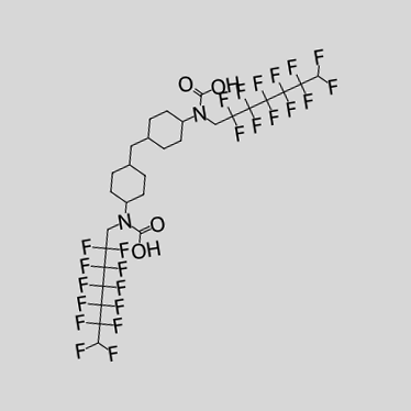 O=C(O)N(CC(F)(F)C(F)(F)C(F)(F)C(F)(F)C(F)(F)C(F)F)C1CCC(CC2CCC(N(CC(F)(F)C(F)(F)C(F)(F)C(F)(F)C(F)(F)C(F)F)C(=O)O)CC2)CC1